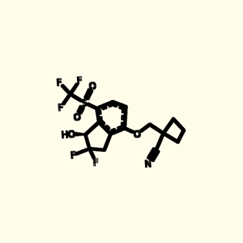 N#CC1(COc2ccc(S(=O)(=O)C(F)(F)F)c3c2CC(F)(F)[C@H]3O)CCC1